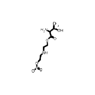 CC(O)C(N)C(=O)OCCNCCO[N+](=O)[O-]